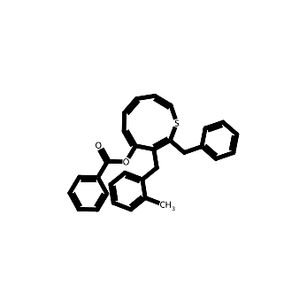 Cc1ccccc1Cc1c(OC(=O)c2ccccc2)cccccsc1Cc1ccccc1